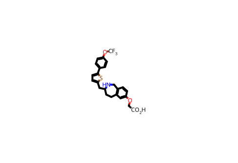 O=C(O)COc1ccc2c(c1)CCC(Cc1ccc(-c3ccc(OC(F)(F)F)cc3)s1)NC2